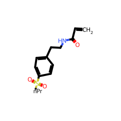 C=CC(=O)NCCc1ccc(S(=O)(=O)CCC)cc1